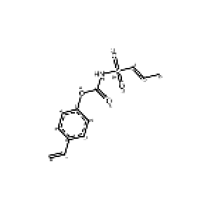 C=Cc1ccc(OC(=O)NS(=O)(=O)C=CC)cc1